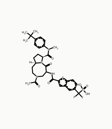 CC(=O)N1CC[C@H]2CC[C@@H](C(=O)N(C)c3ccc(C(C)(C)C)cc3)N2C(=O)C(NC(=O)c2cc3cc(C(F)(F)P(=O)(O)O)ccc3s2)C1